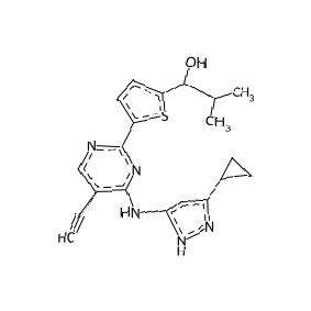 C#Cc1cnc(-c2ccc(C(O)C(C)C)s2)nc1Nc1cc(C2CC2)n[nH]1